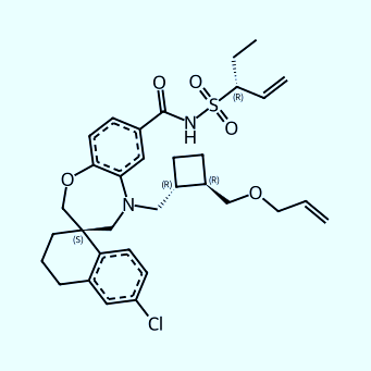 C=CCOC[C@@H]1CC[C@H]1CN1C[C@@]2(CCCc3cc(Cl)ccc32)COc2ccc(C(=O)NS(=O)(=O)[C@@H](C=C)CC)cc21